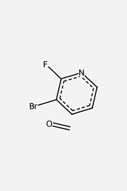 C=O.Fc1ncccc1Br